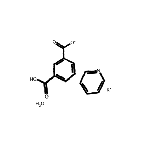 O.O=C([O-])c1cccc(C(=O)O)c1.[K+].c1ccncc1